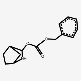 O=C(OCc1ccccc1)OC1NC2CCC1C2